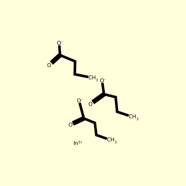 CCCC(=O)[O-].CCCC(=O)[O-].CCCC(=O)[O-].[In+3]